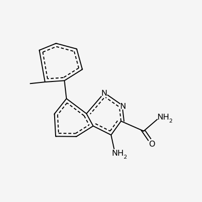 Cc1ccccc1-c1cccc2c(N)c(C(N)=O)nnc12